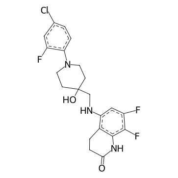 O=C1CCc2c(NCC3(O)CCN(c4ccc(Cl)cc4F)CC3)cc(F)c(F)c2N1